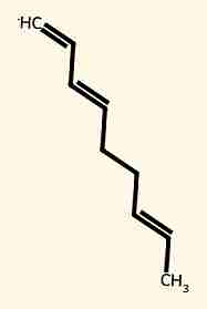 [CH]=CC=CCCC=CC